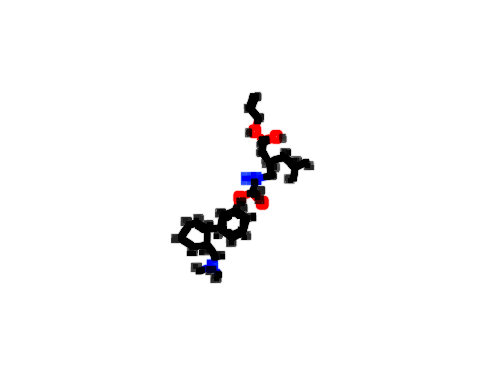 C=CCOC(=O)C[C@H](CNC(=O)Oc1cccc(C2=CCCCC2CN(C)C)c1)CC(C)C